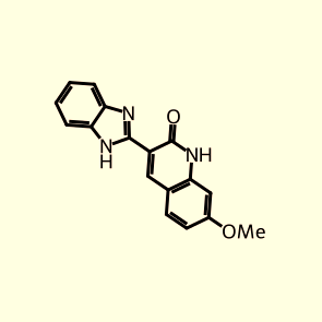 COc1ccc2cc(-c3nc4ccccc4[nH]3)c(=O)[nH]c2c1